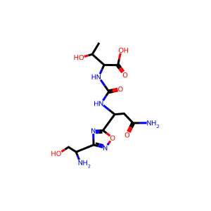 CC(O)C(NC(=O)NC(CC(N)=O)c1nc(C(N)CO)no1)C(=O)O